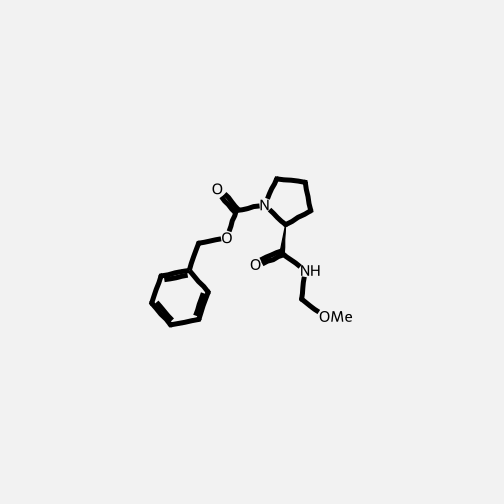 COCNC(=O)[C@@H]1CCCN1C(=O)OCc1ccccc1